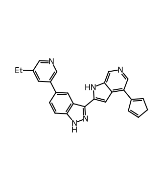 CCc1cncc(-c2ccc3[nH]nc(-c4cc5c(C6=CCC=C6)cncc5[nH]4)c3c2)c1